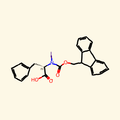 O=C(O)[C@H](Cc1ccccc1)N(I)C(=O)OCC1c2ccccc2-c2ccccc21